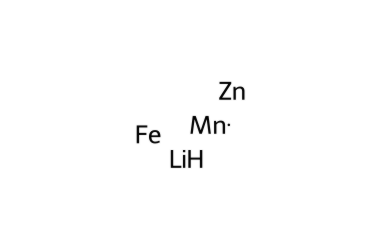 [Fe].[LiH].[Mn].[Zn]